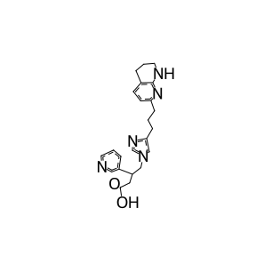 O=C(O)CC(Cn1cnc(CCCc2ccc3c(n2)NCCC3)c1)c1cccnc1